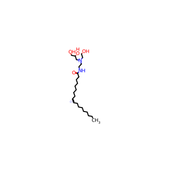 CCCCCCCC/C=C\CCCCCCCC(=O)NCCN(CCO)CC(O)CO